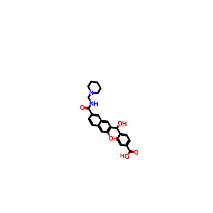 O=C(O)c1ccc(C(O)c2cc3cc(C(=O)NCN4CCCCC4)ccc3cc2O)cc1